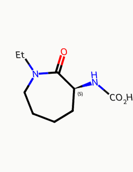 CCN1CCCC[C@H](NC(=O)O)C1=O